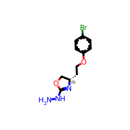 NNC1=N[C@@H](CCOc2ccc(Br)cc2)CO1